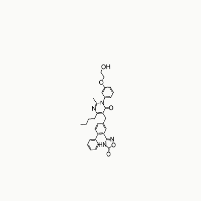 CCCCc1nc(C)n(-c2cccc(OCCO)c2)c(=O)c1Cc1ccc(-c2ccccc2)c(-c2noc(=O)[nH]2)c1